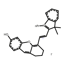 CCC[N+]1=C(/C=C/C2=C3Oc4cc(O)ccc4C=C3CCC2)C(C)(C)c2ccccc21.[I-]